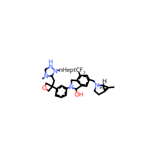 CCCCCCCN1NCN(C)C1CC1(c2cccc(N3Cc4c(cc(CN5CCC6=C(C)[C@H]65)cc4C(F)(F)F)C3O)c2)COC1